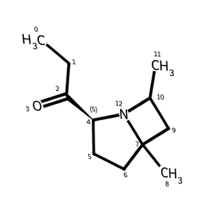 CCC(=O)[C@@H]1CCC2(C)CC(C)N12